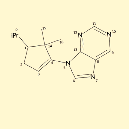 CC(C)C1CC=C(n2cnc3cncnc32)C1(C)C